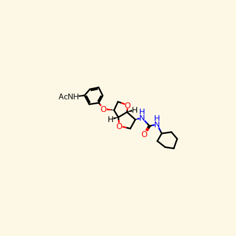 CC(=O)Nc1cccc(O[C@H]2CO[C@H]3[C@@H]2OC[C@@H]3NC(=O)NC2CCCCC2)c1